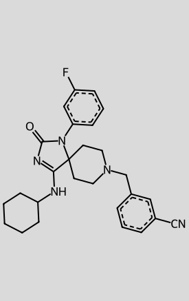 N#Cc1cccc(CN2CCC3(CC2)C(NC2CCCCC2)=NC(=O)N3c2cccc(F)c2)c1